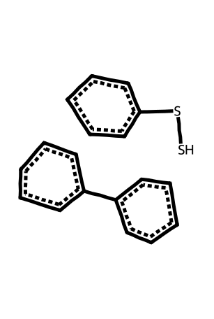 SSc1ccccc1.c1ccc(-c2ccccc2)cc1